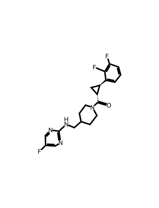 O=C([C@@H]1C[C@H]1c1cccc(F)c1F)N1CCC(CNc2ncc(F)cn2)CC1